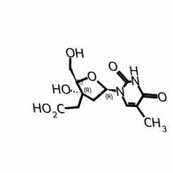 Cc1cn([C@H]2C[C@@](O)(CC(=O)O)[C@@H](CO)O2)c(=O)[nH]c1=O